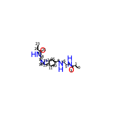 C=CC(=O)NCCNCc1ccc(C[N+](C)(C)CCNC(=O)C=C)cc1